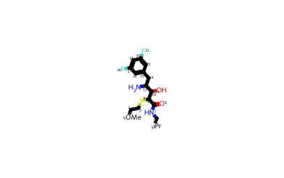 COCCSC(C(=O)NCC(C)C)C(O)C(N)Cc1cc(F)cc(F)c1